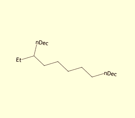 [CH2]CCCCCCCCCCCCCCC(CC)CCCCCCCCC[CH2]